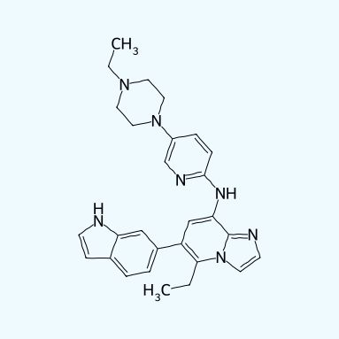 CCc1c(-c2ccc3cc[nH]c3c2)cc(Nc2ccc(N3CCN(CC)CC3)cn2)c2nccn12